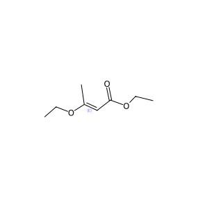 CCOC(=O)/C=C(\C)OCC